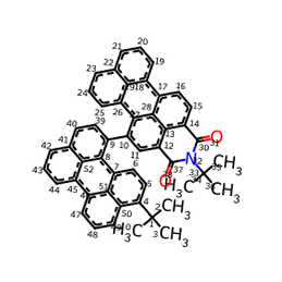 CC(C)(C)c1ccc2c3c(-c4cc5c6c(ccc7c8cccc9cccc(c4c67)c98)C(=O)N(C(C)(C)C)C5=O)ccc4cccc(c5cccc1c52)c43